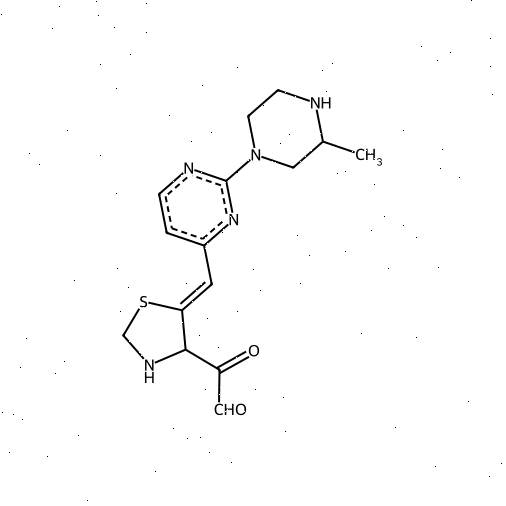 CC1CN(c2nccc(/C=C3\SCNC3C(=O)C=O)n2)CCN1